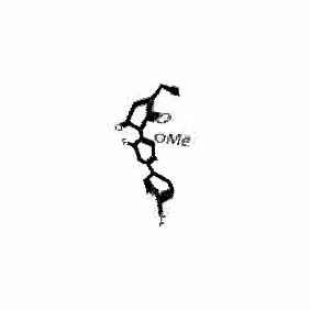 C#CCC1CC(=O)C(c2c(F)cc(-c3ccc(F)cc3)cc2OC)C1=O